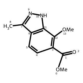 COC(=O)c1ccc2c(C)n[nH]c2c1OC